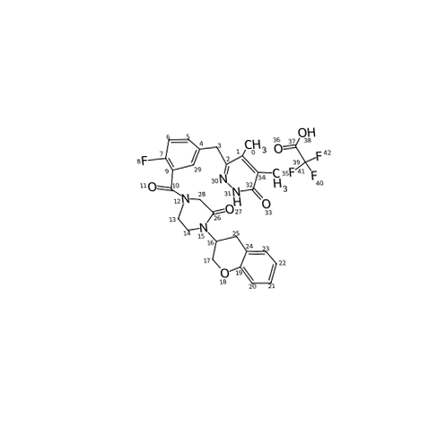 Cc1c(Cc2ccc(F)c(C(=O)N3CCN(C4COc5ccccc5C4)C(=O)C3)c2)n[nH]c(=O)c1C.O=C(O)C(F)(F)F